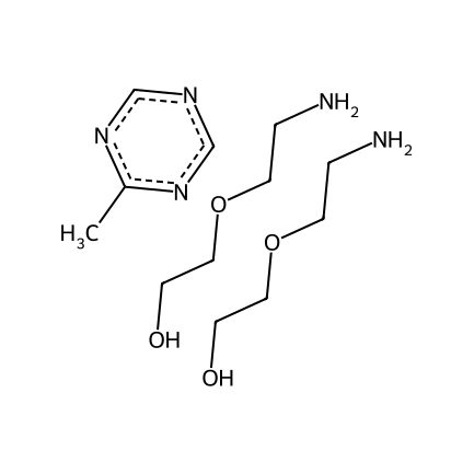 Cc1ncncn1.NCCOCCO.NCCOCCO